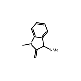 C=C1C(NC)c2ccccc2N1C